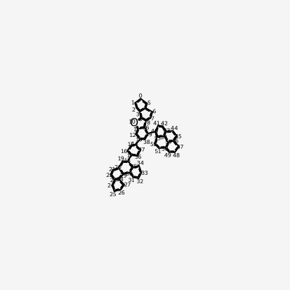 c1ccc2c(c1)ccc1c2oc2cc(-c3ccc(-c4cc5ccc6ccccc6c5c5ccccc45)cc3)cc(-c3ccc4ccc5cccc6ccc3c4c56)c21